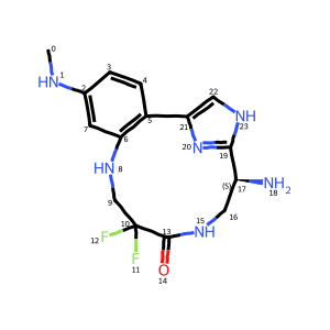 CNc1ccc2c(c1)NCC(F)(F)C(=O)NC[C@H](N)c1nc-2c[nH]1